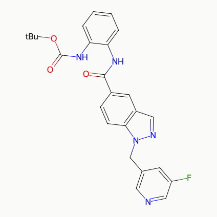 CC(C)(C)OC(=O)Nc1ccccc1NC(=O)c1ccc2c(cnn2Cc2cncc(F)c2)c1